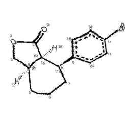 O=C1OC[C@@H]2CCC[C@H](c3ccc(Br)cc3)[C@H]12